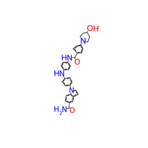 NC(=O)c1ccc2c(ccn2-c2ccc(Nc3ccc(NC(=O)c4ccc(N5CCC(O)CC5)cc4)cc3)cc2)c1